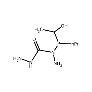 CCCP(C(C)O)N(N)C(=O)NN